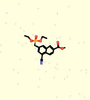 CCOP(=O)(Cc1cc(C#N)c2ccc(C(=O)OC)cc2c1)OCC